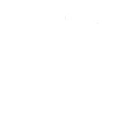 CCOC(=O)C(O)=CC(=O)c1ccc(OCc2c(F)cccc2F)cc1